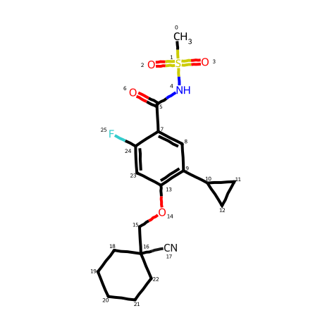 CS(=O)(=O)NC(=O)c1cc(C2CC2)c(OCC2(C#N)CCCCC2)cc1F